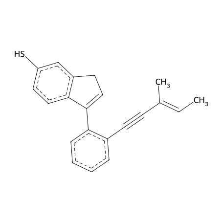 C/C=C(\C)C#Cc1ccccc1C1=CCc2cc(S)ccc21